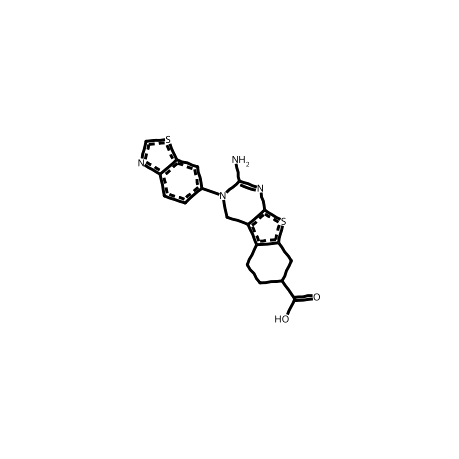 NC1=Nc2sc3c(c2CN1c1ccc2ncsc2c1)CCC(C(=O)O)C3